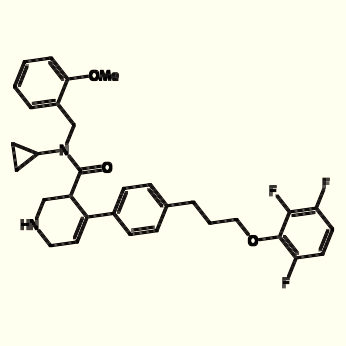 COc1ccccc1CN(C(=O)C1CNCC=C1c1ccc(CCCOc2c(F)ccc(F)c2F)cc1)C1CC1